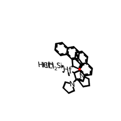 Cl.Cl.[CH3][Hf]([CH3])(=[SiH2])([CH]1C(N2CCCC2)=Cc2ccc3ccccc3c21)[CH]1C(N2CCCC2)=Cc2ccc3ccccc3c21